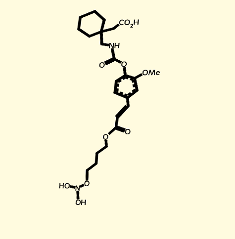 COc1cc(/C=C/C(=O)OCCCCON(O)O)ccc1OC(=O)NCC1(CC(=O)O)CCCCC1